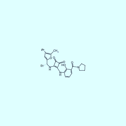 CC[C@@H](Nc1c(Nc2cccc(C(=O)N3CCCC3)c2O)c(=O)c1=O)c1cc(C(C)C)c(C)o1